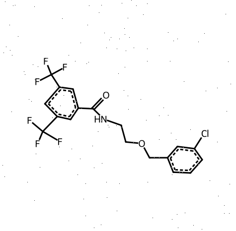 O=C(NCCOCc1cccc(Cl)c1)c1cc(C(F)(F)F)cc(C(F)(F)F)c1